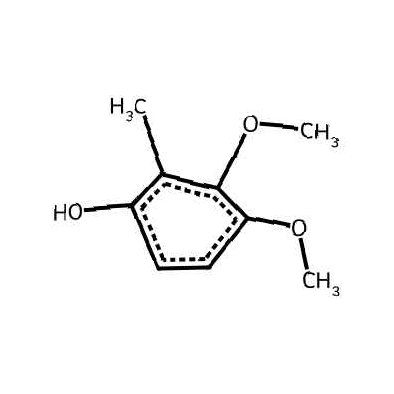 COc1ccc(O)c(C)c1OC